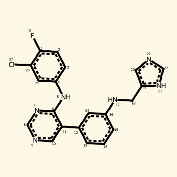 Fc1ccc(Nc2ncncc2-c2cccc(NCc3cnc[nH]3)c2)cc1Cl